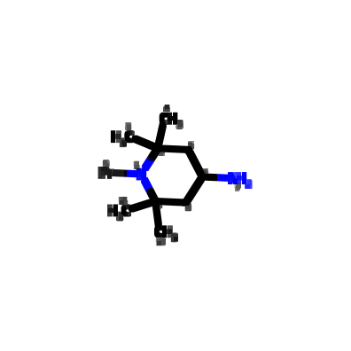 CC(C)N1C(C)(C)CC(N)CC1(C)C